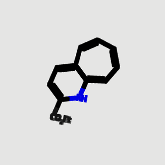 CCOC(=O)C1=CC=C2C=CC=CC=C2N1